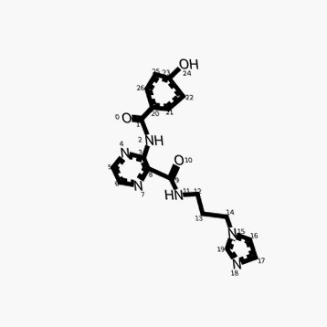 O=C(Nc1nccnc1C(=O)NCCCn1ccnc1)c1ccc(O)cc1